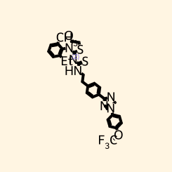 CCc1cccc(C)c1N1C(=O)CS/C1=N\C(=S)NCCc1ccc(-c2ncn(-c3ccc(OC(F)(F)F)cc3)n2)cc1